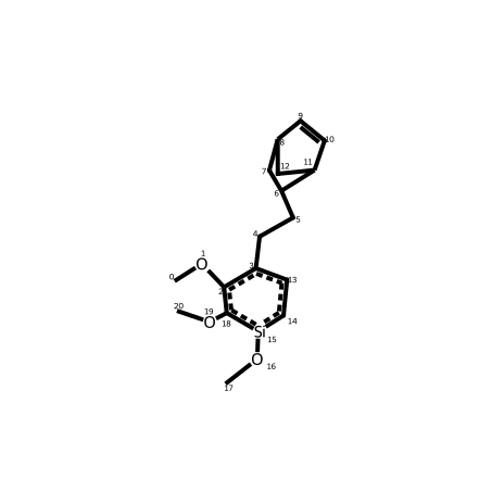 COc1c(CCC2CC3C=CC2C3)cc[si](OC)c1OC